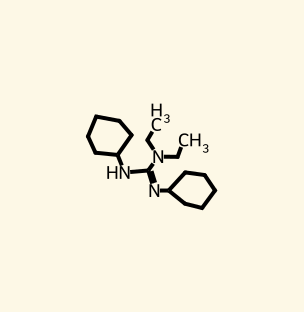 CCN(CC)C(=NC1CCCCC1)NC1CCCCC1